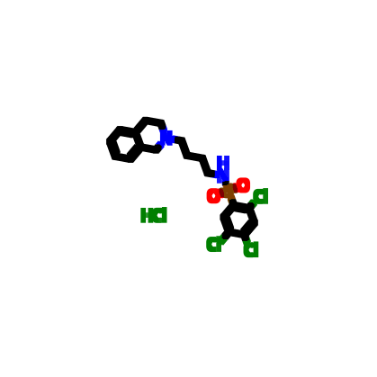 Cl.O=S(=O)(NCCCCN1CCc2ccccc2C1)c1cc(Cl)c(Cl)cc1Cl